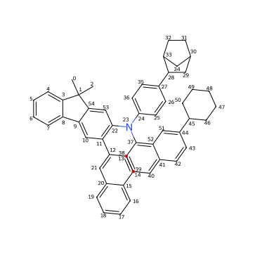 CC1(C)c2ccccc2-c2cc(-c3ccc4ccccc4c3)c(N(c3ccc(C4CC5CCC4C5)cc3)c3cccc4ccc(C5CCCCC5)cc34)cc21